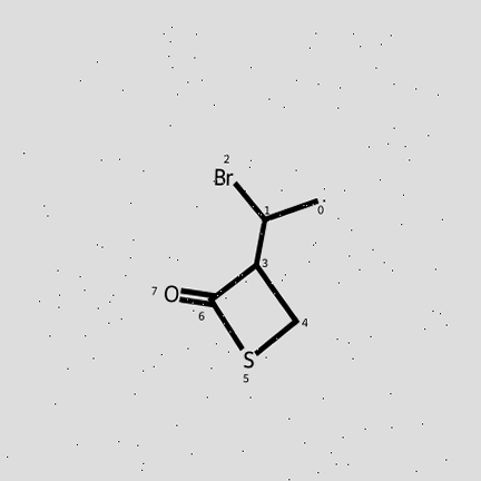 [CH2]C(Br)C1CSC1=O